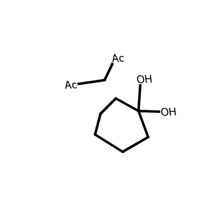 CC(=O)CC(C)=O.OC1(O)CCCCC1